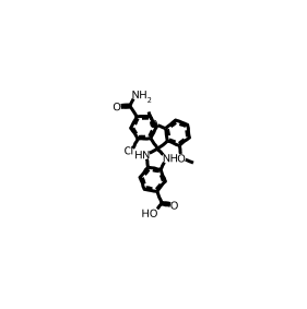 COc1cccc(OC)c1C1(c2ccc(C(N)=O)cc2Cl)Nc2ccc(C(=O)O)cc2N1